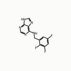 Fc1cc(F)c(F)c(CNc2ncnc3[nH]cnc23)c1